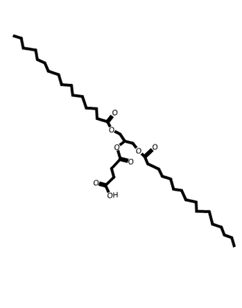 CCCCCCCCCCCCCCCC(=O)OCC(COC(=O)CCCCCCCCCCCCCCC)OC(=O)CCC(=O)O